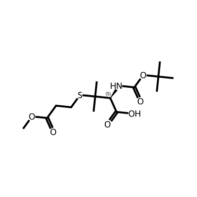 COC(=O)CCSC(C)(C)[C@@H](NC(=O)OC(C)(C)C)C(=O)O